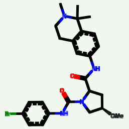 CO[C@@H]1CC(C(=O)Nc2ccc3c(c2)CCN(C)C3(C)C)N(C(=O)Nc2ccc(Br)cc2)C1